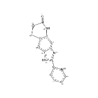 O=C1Nc2cc3nc(-c4ccccn4)[nH]c3cc2CO1